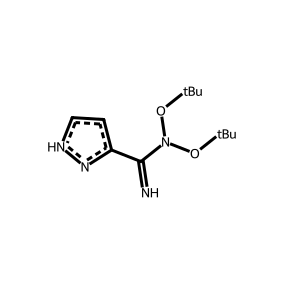 CC(C)(C)ON(OC(C)(C)C)C(=N)c1cc[nH]n1